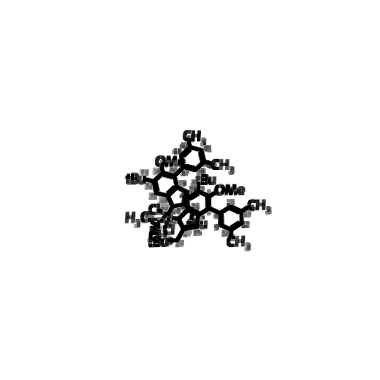 COc1c(C(C)(C)C)cc2c(c1-c1cc(C)cc(C)c1)C=C(CC(C)(C)C)[CH]2[Zr]([Cl])([Cl])([CH]1C(CC(C)(C)C)=Cc2c1cc(C(C)(C)C)c(OC)c2-c1cc(C)cc(C)c1)[SiH](C)C